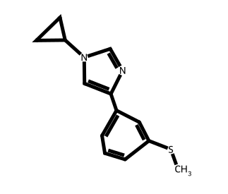 CSc1cccc(-c2cn(C3CC3)cn2)c1